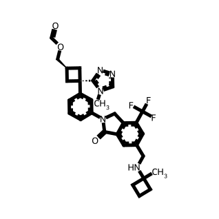 Cn1cnnc1[C@]1(c2cccc(N3Cc4c(cc(CNC5(C)CCC5)cc4C(F)(F)F)C3=O)c2)C[C@@H](COC=O)C1